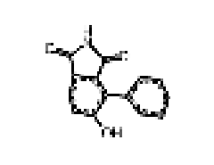 O=C1NC(=O)c2c1ccc(O)c2-c1ccccc1